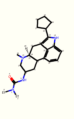 CCN(CC)C(=O)NC1CC2c3cccc4[nH]c(C5CCCC5)c(c34)C[C@@H]2N(C)C1